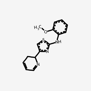 COc1ccccc1Nc1nc(C2CC=CC=N2)cs1